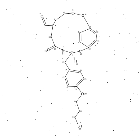 O=CC1CCCOc2ccc(cc2)C[C@@H](Cc2ccc(OCCCS)cc2)NC(=O)C1